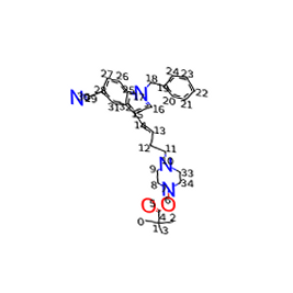 CC(C)(C)C(=O)ON1CCN(CCC=Cc2cn(Cc3ccccc3)c3ccc(C#N)cc23)CC1